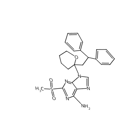 CS(=O)(=O)c1nc(N)c2ncn(C3(CC(c4ccccc4)c4ccccc4)CCCCO3)c2n1